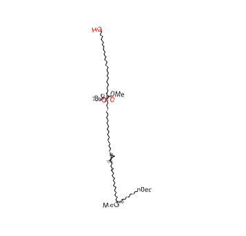 CCCCCCCCCCCCCCCCCC[C@H](C)[C@H](CCCCCCCCCCCCCCCC[C@H](C)C1C[C@H]1CCCCCCCCCCCCCCCCCC[C@@H](O[Si](C)(C)C(C)(C)C)[C@@H](CCCCCCCCCCCCCCCCCCCCCCCCO)C(=O)OC)OC